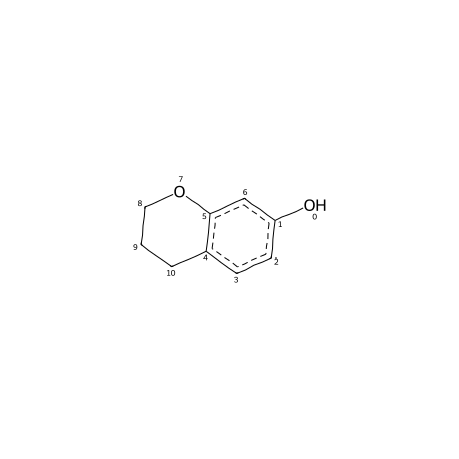 Oc1[c]cc2c(c1)OCCC2